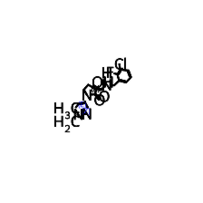 C=N/N=C\C(=C/C)N1CC[C@@](O)(C(=O)NCc2cccc(Cl)c2F)C1=O